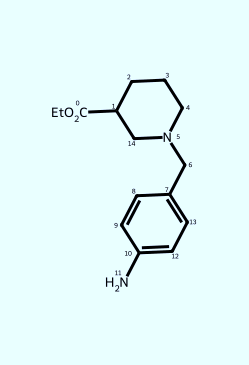 CCOC(=O)C1CCCN(Cc2ccc(N)cc2)C1